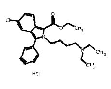 CCOC(=O)c1c2ccc(Cl)cc2c(-c2ccccc2)n1CCCCN(CC)CC.Cl